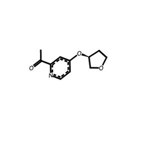 CC(=O)c1cc(O[C@H]2CCOC2)ccn1